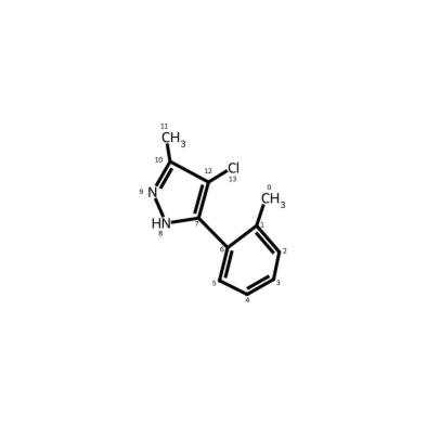 Cc1ccccc1-c1[nH]nc(C)c1Cl